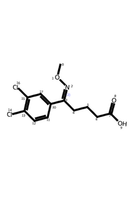 CO/N=C(/CCCC(=O)O)c1ccc(Cl)c(Cl)c1